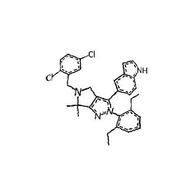 CCc1cccc(CC)c1-n1nc2c(c1-c1ccc3[nH]ccc3c1)CN(Cc1cc(Cl)ccc1Cl)C2(C)C